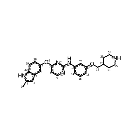 Cc1cc2cc(Oc3ccnc(Nc4cccc(OCC5CCNCC5)c4)n3)ccc2[nH]1